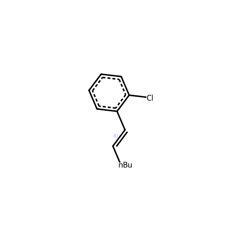 CCCC/C=C/c1ccccc1Cl